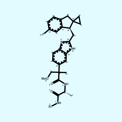 CCNC(=O)[C@@H](C)NC(=O)C(C)(COC)c1ccc2nc(C[C@H]3c4cc(F)ccc4CC34CC4)[nH]c2c1